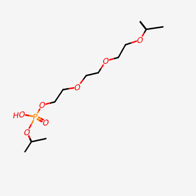 CC(C)OCCOCCOCCOP(=O)(O)OC(C)C